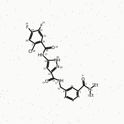 CCN(CC)C(=O)c1cccc(CNC(=O)c2cc(NC(=O)c3cc(F)c(F)cc3Cl)[nH]n2)c1